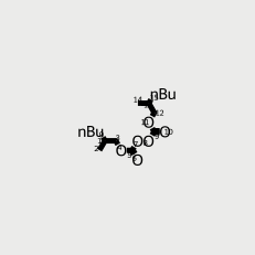 CCCCC(C)COC(=O)OOC(=O)OCC(C)CCCC